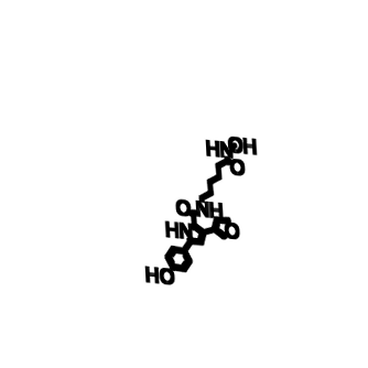 O=C(CCCCCNC(=O)c1[nH]c(-c2ccc(O)cc2)cc1-c1ccoc1)NO